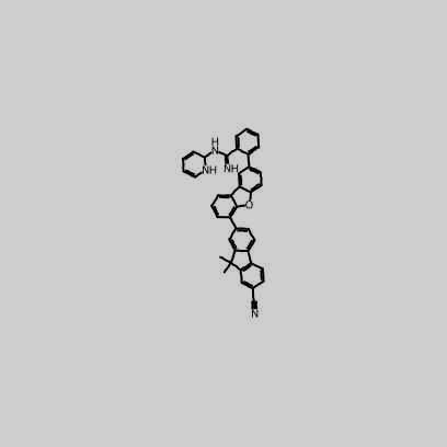 CC1(C)c2cc(C#N)ccc2-c2ccc(-c3cccc4c3oc3ccc(-c5ccccc5C(=N)NC5C=CC=CN5)cc34)cc21